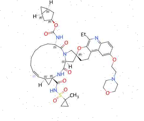 CCc1nc2ccc(OCCN3CCOCC3)cc2c2c1O[C@]1(CC2)C[C@H]2C(=O)N[C@]3(C(=O)NS(=O)(=O)C4(C)CC4)C[C@H]3/C=C\CCCCC[C@H](NC(=O)O[C@@H]3C[C@@H]4C[C@@H]4C3)C(=O)N2C1